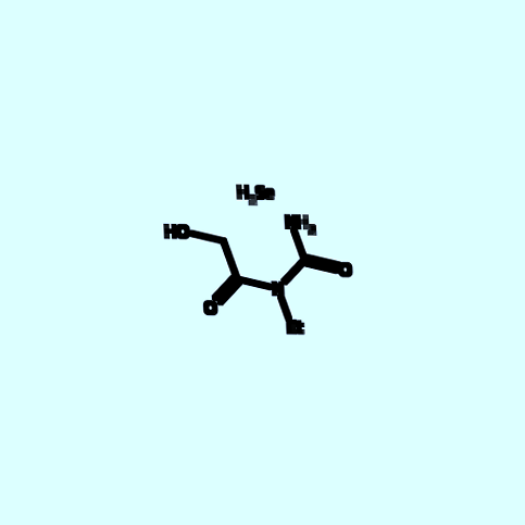 CCN(C(N)=O)C(=O)CO.[SeH2]